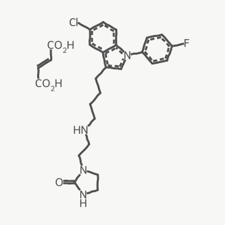 O=C(O)C=CC(=O)O.O=C1NCCN1CCNCCCCc1cn(-c2ccc(F)cc2)c2ccc(Cl)cc12